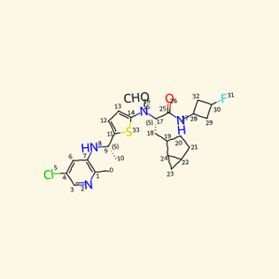 Cc1ncc(Cl)cc1N[C@@H](C)c1ccc(N(C=O)[C@@H](CC2CCC3CC32)C(=O)NC2CC(F)C2)s1